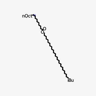 CCCCCCCC/C=C\CCCCCCCC(=O)OCCCCCCCCCCCCCCCCCCCCCCCCCCCC(C)CC